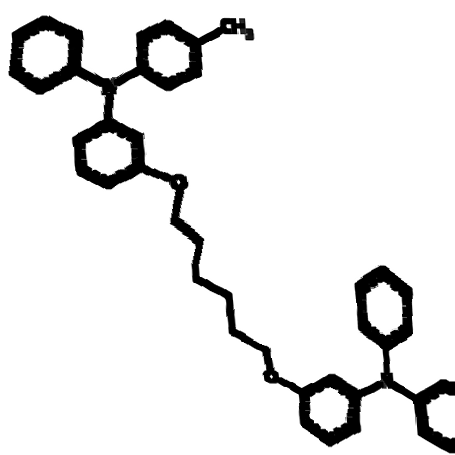 Cc1ccc(N(c2ccccc2)c2cccc(OCCCCCCOc3cccc(N(c4ccccc4)c4ccccc4)c3)c2)cc1